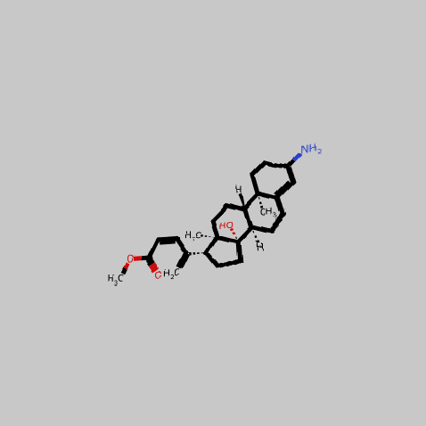 C=C(/C=C\C(=O)OC)[C@H]1CC[C@]2(O)[C@@H]3CCC4=CC(N)CC[C@]4(C)[C@H]3CC[C@]12C